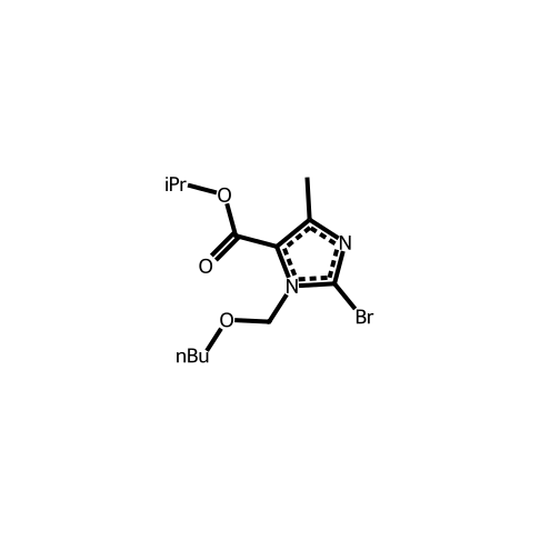 CCCCOCn1c(Br)nc(C)c1C(=O)OC(C)C